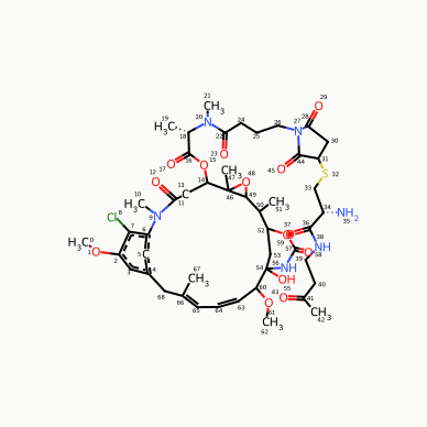 COc1cc2cc(c1Cl)N(C)C(=O)CC(OC(=O)[C@H](C)N(C)C(=O)CCCN1C(=O)CC(SC[C@H](N)C(=O)NCCC(C)=O)C1=O)C1(C)OC1C(C)C1CC(O)(NC(=O)O1)C(OC)/C=C\C=C(/C)C2